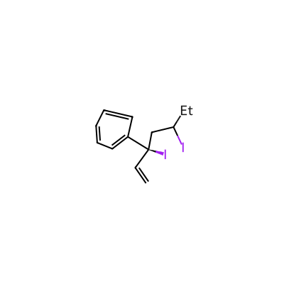 C=C[C@@](I)(CC(I)CC)c1ccccc1